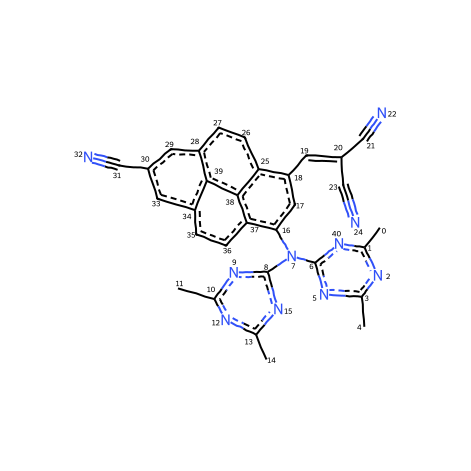 Cc1nc(C)nc(N(c2nc(C)nc(C)n2)c2cc(C=C(C#N)C#N)c3ccc4cc(C#N)cc5ccc2c3c45)n1